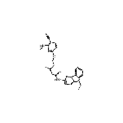 CCn1c2ccccc2c2cc(NC(=O)CC(C)CCOc3ccc(C#N)c(NC)c3)ccc21